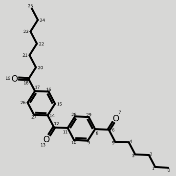 CCCCCCC(=O)c1ccc(C(=O)c2ccc(C(=O)CCCCCC)cc2)cc1